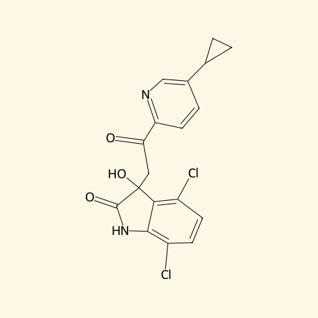 O=C(CC1(O)C(=O)Nc2c(Cl)ccc(Cl)c21)c1ccc(C2CC2)cn1